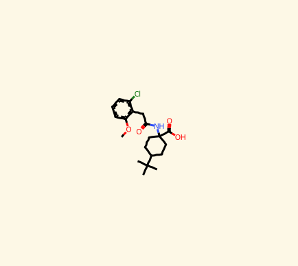 COc1cccc(Cl)c1CC(=O)NC1(C(=O)O)CCC(C(C)(C)C)CC1